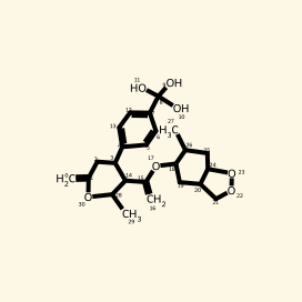 C=C1CC(c2ccc(C(O)(O)O)cc2)C(C(=C)OC2CC3COOC3CC2C)C(C)O1